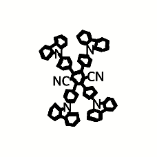 N#Cc1c(-c2ccc(-n3c4ccccc4c4ccccc43)cc2)c(-c2ccc(-n3c4ccccc4c4ccccc43)cc2)c(C#N)c(-c2ccc(-n3c4ccccc4c4ccccc43)cc2)c1-c1ccc(-n2c3ccccc3c3ccccc32)cc1